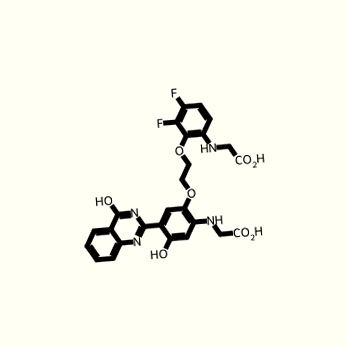 O=C(O)CNc1cc(O)c(-c2nc(O)c3ccccc3n2)cc1OCCOc1c(NCC(=O)O)ccc(F)c1F